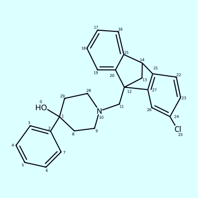 OC1(c2ccccc2)CCN(CC23CC(c4ccccc42)c2ccc(Cl)cc23)CC1